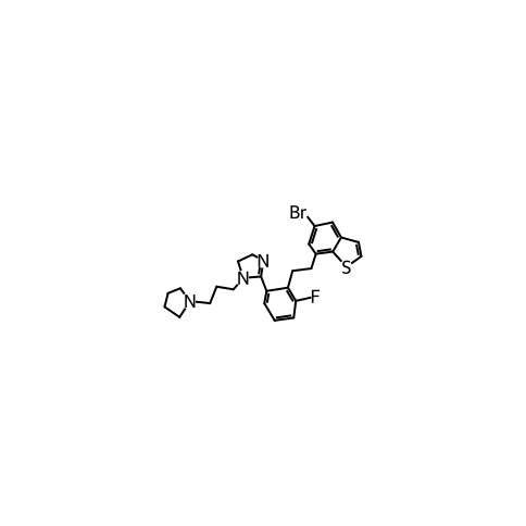 Fc1cccc(C2=NCCN2CCCN2CCCC2)c1CCc1cc(Br)cc2ccsc12